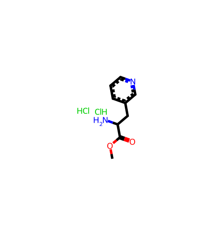 COC(=O)C(N)Cc1cccnc1.Cl.Cl